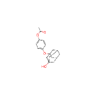 CC(=O)Oc1ccc(OC23CC4CC(CC(O)(C4)C2)C3)cc1